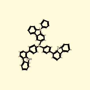 c1ccc(-n2c3ccccc3c3cc(N(c4ccc(-c5cccc6c5[nH]c5ccccc56)cc4)c4ccc(-c5cccc6c5oc5ccccc56)cc4)ccc32)cc1